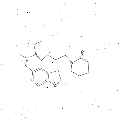 CCN(CCCCN1CCCCC1=O)C(C)Cc1ccc2c(c1)OCO2